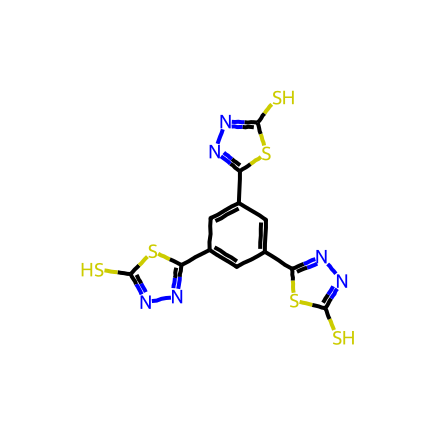 Sc1nnc(-c2cc(-c3nnc(S)s3)cc(-c3nnc(S)s3)c2)s1